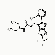 CCC(CC)NC(=O)/C=C/c1c(-c2ccccc2C)nc2sc(C(F)(F)F)nn12